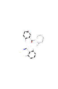 NC1=NS(O)(O)Nc2cccc(OCC3CCCCN3C(=O)c3cc(O)ccc3O)c21